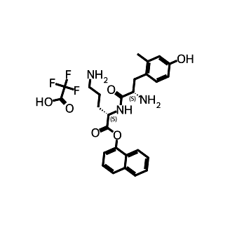 Cc1cc(O)ccc1C[C@H](N)C(=O)N[C@@H](CCCN)C(=O)Oc1cccc2ccccc12.O=C(O)C(F)(F)F